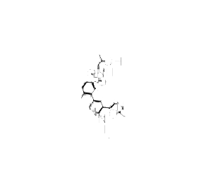 Cc1ncc(-c2cc(-c3cc(S(=O)(=O)NCC(C)O)ccc3C)cnc2N)o1